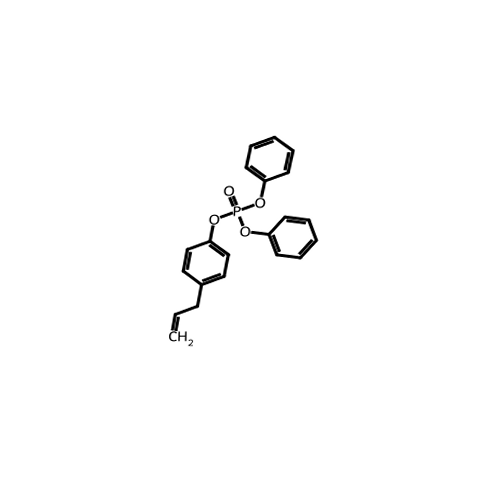 C=CCc1ccc(OP(=O)(Oc2ccccc2)Oc2ccccc2)cc1